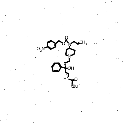 C=CCN(C(=O)OCc1ccc([N+](=O)[O-])cc1)C1CCN(CCC(O)(CCNC(=O)C(C)(C)C)c2ccccc2)CC1